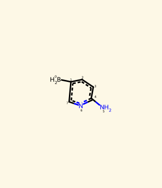 Bc1ccc(N)nc1